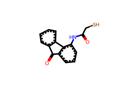 O=C(CS)Nc1cccc2c1-c1ccccc1C2=O